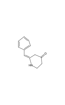 O=C1CCNC(=Cc2ccccc2)C1